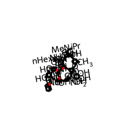 CCCCCCNC(=O)NC(=O)C[C@@H]1NC(=O)[C@H](NC(=O)[C@@H](CC(C)C)NC)[C@H](O)c2ccc(c(C)c2)Oc2cc3cc(c2O[C@@H]2O[C@H](CN)[C@@H](O)[C@H](O)[C@H]2O)Oc2ccc(cc2Cl)[C@@H](O)[C@@H]2NC(=O)[C@H](NC(=O)[C@@H]3NC1=O)c1ccc(O)c(c1)-c1c(C)cc(O)cc1[C@@H](C(=O)NC1C3CC4CC(C3)CC1C4)NC2=O